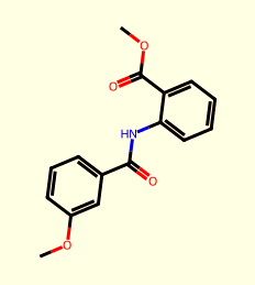 COC(=O)c1ccccc1NC(=O)c1cccc(OC)c1